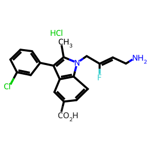 Cc1c(-c2cccc(Cl)c2)c2cc(C(=O)O)ccc2n1C/C(F)=C/CN.Cl